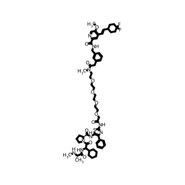 CN[C@@H](C)C(=O)NC(C(=O)N1CCC[C@H]1C(=O)Nc1sc(NC(=O)COCCOCCOCCOCCN(C)C(=O)Cc2cccc(CNC(=O)c3cc(/C=C/C4CCC(F)(F)CC4)c(OC)cn3)c2)nc1-c1ccccc1)C1CCCCC1